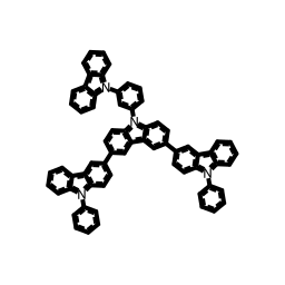 c1ccc(-n2c3ccccc3c3cc(-c4ccc5c(c4)c4cc(-c6ccc7c(c6)c6ccccc6n7-c6ccccc6)ccc4n5-c4cccc(-n5c6ccccc6c6ccccc65)c4)ccc32)cc1